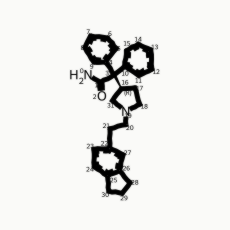 NC(=O)C(c1ccccc1)(c1ccccc1)[C@H]1CCN(CCc2ccc3c(c2)CCC3)C1